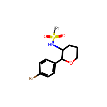 CC(C)S(=O)(=O)NC1CCCOC1c1ccc(Br)cc1